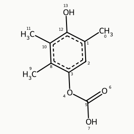 Cc1cc(OC(=O)O)c(C)c(C)c1O